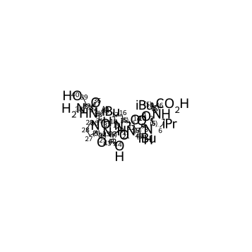 CC[C@H](C)[C@H](NC(=O)[C@H](CC(C)C)NC(=O)[C@@H](NC(=O)[C@@H]1CCCN1C(=O)[C@@H](NC(=O)[C@@H]1CCCN1C(=O)[C@@H](NC(=O)[C@@H](N)CO)[C@@H](C)CC)[C@@H](C)O)[C@@H](C)CC)C(=O)O